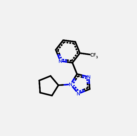 FC(F)(F)c1cccnc1-c1ncnn1C1CCCC1